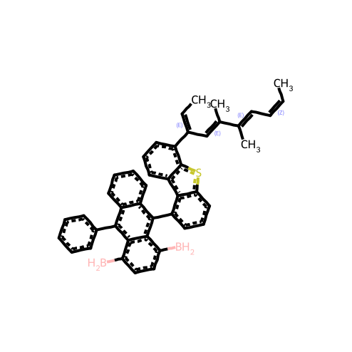 Bc1ccc(B)c2c(-c3cccc4sc5c(C(/C=C(C)/C(C)=C/C=C\C)=C/C)cccc5c34)c3ccccc3c(-c3ccccc3)c12